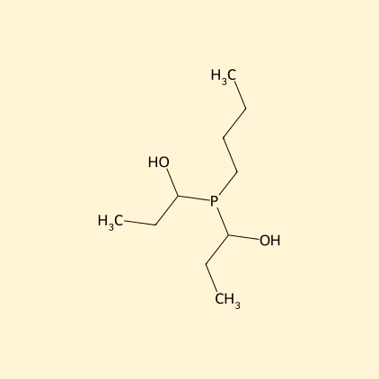 CCCCP(C(O)CC)C(O)CC